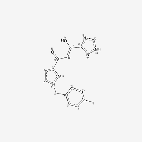 Cc1ccc(Cn2ccc(C(=O)C=C(O)c3nc[nH]n3)n2)cc1